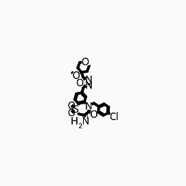 COC1(c2nnc(-c3ccc4c(c3)N(Cc3ccc(Cl)cc3)C(=O)[C@@H](N)CS4(=O)=O)o2)CCOCC1